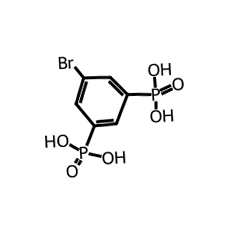 O=P(O)(O)c1cc(Br)cc(P(=O)(O)O)c1